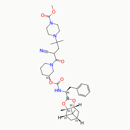 COC(=O)N1CCN(C(C)(C)CC(C#N)C(=O)N2CCC[C@H](OC(=O)N[C@@H](Cc3ccccc3)B3O[C@@H]4C[C@@H]5C[C@@H](C5(C)C)[C@]4(C)O3)C2)CC1